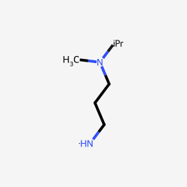 CC(C)N(C)CCC[NH]